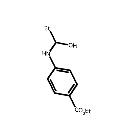 CCOC(=O)c1ccc(NC(O)CC)cc1